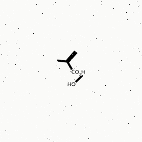 C=C(C)C(=O)O.CO